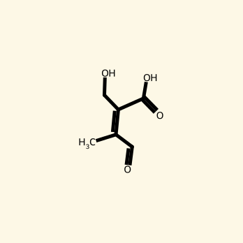 C/C(C=O)=C(\CO)C(=O)O